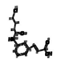 O=C(O)C=Cc1cccc(NC(=O)CCCCl)c1